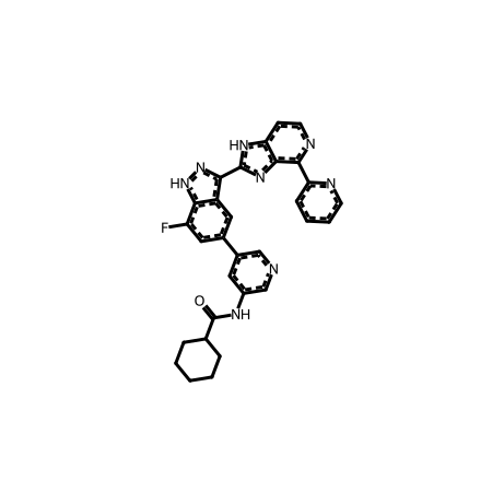 O=C(Nc1cncc(-c2cc(F)c3[nH]nc(-c4nc5c(-c6ccccn6)nccc5[nH]4)c3c2)c1)C1CCCCC1